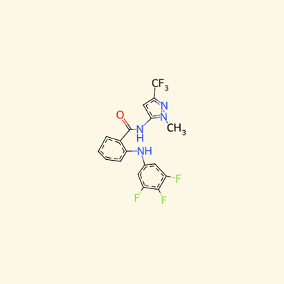 Cn1nc(C(F)(F)F)cc1NC(=O)c1ccccc1Nc1cc(F)c(F)c(F)c1